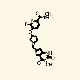 CNC(=O)c1ccc(OC2CCN(Cc3cc4[nH]c(=O)n(C)c(=O)c4s3)C2)c(F)n1